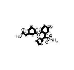 NS(=O)(=O)C(c1nccs1)c1cc(Br)ccc1Oc1cccc(CC(=O)O)c1